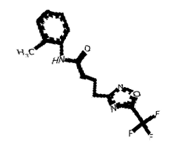 Cc1ccccc1NC(=O)CCCc1noc(C(F)(F)F)n1